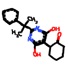 CC(C)(c1ccccc1)c1nc(O)c(C2CCCCC2=O)c(O)n1